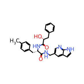 Cc1ccc(C[C@H](NC(=O)[C@H](O)Cc2ccccc2)C(=O)NCc2cnc3[nH]ccc3c2)cc1